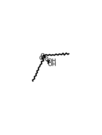 CCCCCCCCCCCCCCCC(=O)P(OCC(O)CO)C(=O)CCCCCCCCCCCCCCC